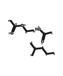 CC(=O)O.CCCC(C)C.CCOC(C)=O